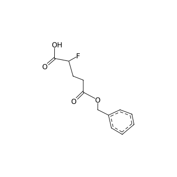 O=C(CCC(F)C(=O)O)OCc1ccccc1